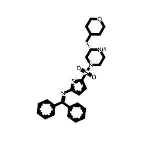 O=S(=O)(c1ccc(N=C(c2ccccc2)c2ccccc2)s1)N1CCN[C@@H](CC2CCOCC2)C1